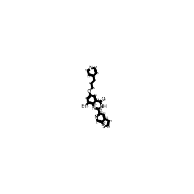 CCc1cc(OCCCc2ccncc2)cc2c(=O)[nH]c(-c3cc4ccsc4cn3)nc12